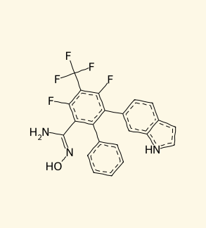 NC(=NO)c1c(F)c(C(F)(F)F)c(F)c(-c2ccc3cc[nH]c3c2)c1-c1ccccc1